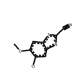 COc1cc2sc(C#N)nc2cc1Cl